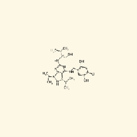 CC(C)[C@H](CO)Nc1nc(NCc2cc(O)c(Cl)cc2O)c2c(n1)N(C(C)C)NN2C(C)C